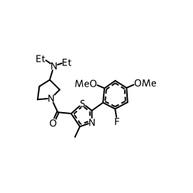 CCN(CC)C1CCN(C(=O)c2sc(-c3c(F)cc(OC)cc3OC)nc2C)C1